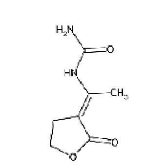 CC(NC(N)=O)=C1CCOC1=O